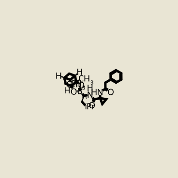 CC(C)C[C@H](NC(=O)C1(NC(=O)Cc2ccccc2)CC1)B1O[C@@H]2C[C@@H]3C[C@@H](C3(C)C)[C@]2(C)O1